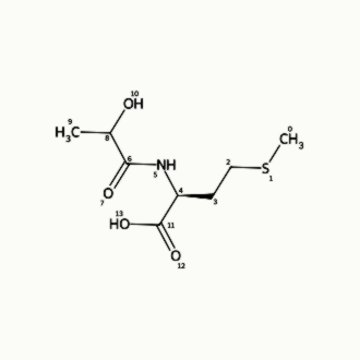 CSCC[C@H](NC(=O)C(C)O)C(=O)O